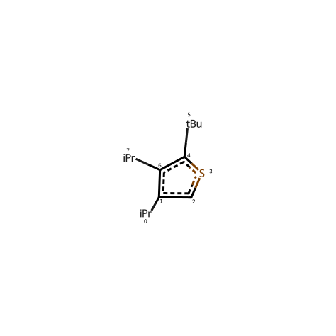 CC(C)c1csc(C(C)(C)C)c1C(C)C